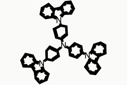 C1=CC(n2c3ccccc3c3ccccc32)CC=C1N(C1=CCC(n2c3ccccc3c3ccccc32)C=C1)c1ccc(-n2c3ccccc3c3ccccc32)cc1